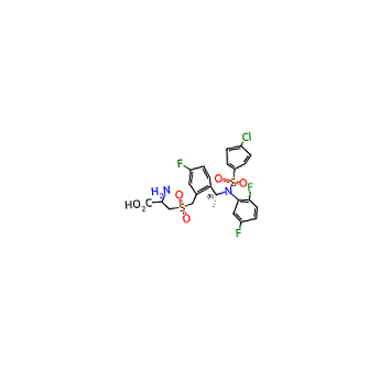 C[C@H](c1ccc(F)cc1CS(=O)(=O)CC(N)C(=O)O)N(c1cc(F)ccc1F)S(=O)(=O)c1ccc(Cl)cc1